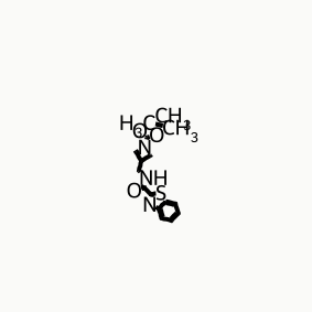 CC(C)(C)OC(=O)N1CC(CNC(=O)c2nc3ccccc3s2)C1